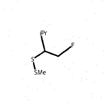 CSSC(CF)C(C)C